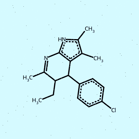 CCC1C(C)=Nc2[nH]c(C)c(C)c2C1c1ccc(Cl)cc1